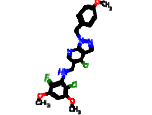 COc1ccc(Cn2ncc3c(Cl)c(CNc4c(F)c(OC)cc(OC)c4Cl)cnc32)cc1